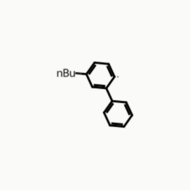 CCCCc1cc[c]c(-c2ccccc2)c1